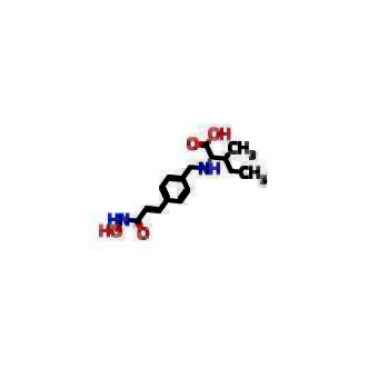 CCC(C)[C@H](NCc1ccc(/C=C/C(=O)NO)cc1)C(=O)O